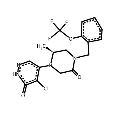 C[C@H]1CN(Cc2ccccc2OC(F)(F)F)C(=O)CN1c1cn[nH]c(=O)c1Cl